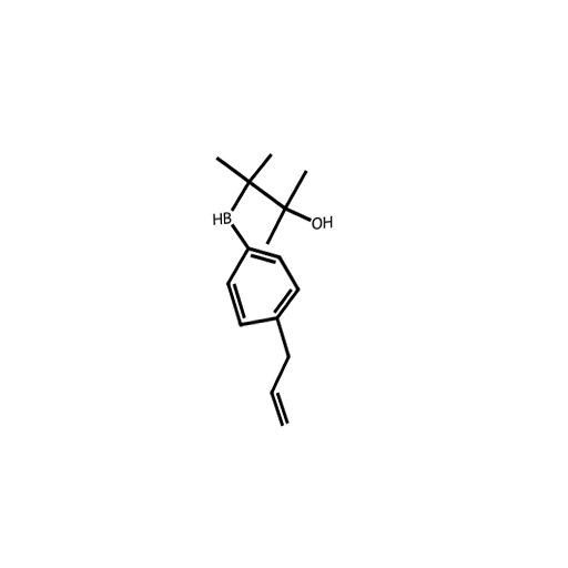 C=CCc1ccc(BC(C)(C)C(C)(C)O)cc1